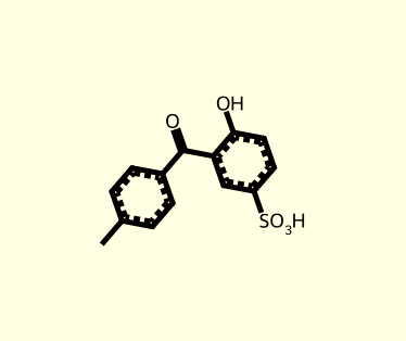 Cc1ccc(C(=O)c2cc(S(=O)(=O)O)ccc2O)cc1